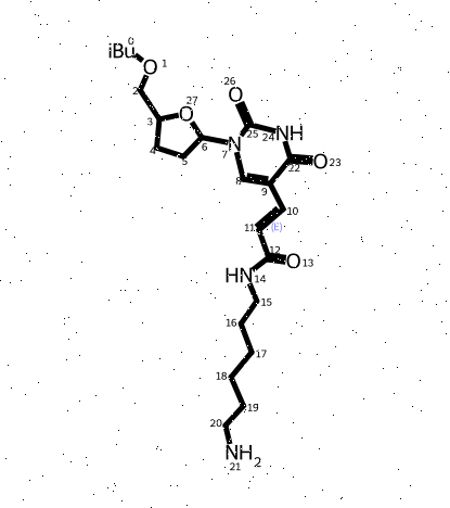 CCC(C)OCC1CCC(n2cc(/C=C/C(=O)NCCCCCCN)c(=O)[nH]c2=O)O1